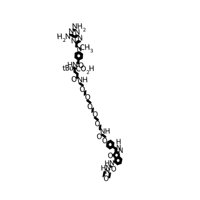 CN(Cc1cnc2nc(N)nc(N)c2n1)c1ccc(C(=O)N[C@](CCC(=O)NCCOCCOCCOCCOCCOCCNC(=O)COc2ccc(-c3[nH]nc4c3C(=O)c3c(NC(=O)NN5CCOCC5)cccc3-4)cc2)(C(=O)O)C(C)(C)C)cc1